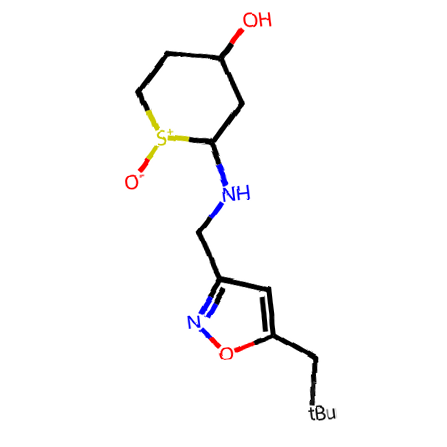 CC(C)(C)Cc1cc(CNC2CC(O)CC[S+]2[O-])no1